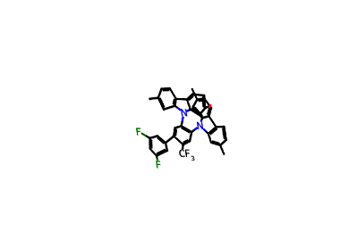 Cc1ccc2c3ccc(C)cc3n(-c3cc(-c4cc(F)cc(F)c4)c(C(F)(F)F)cc3-n3c4cc(C)ccc4c4ccc(C)cc43)c2c1